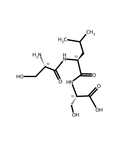 CC(C)C[C@H](NC(=O)[C@@H](N)CO)C(=O)N[C@@H](CO)C(=O)O